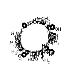 CCC[C@@H]1NC(=O)[C@H](Cc2ccc(O)cc2)NC(=O)[C@H](CCC(=O)O)NC(=O)[C@H](CCCCN)NC(=O)[C@H](Cc2c[nH]c3ncccc23)NC(=O)[C@H]([C@@H](C)O)NC(=O)[C@H](Cc2cnc[nH]2)NC(=O)[C@H](Cc2ccc(O)cc2)NC(=O)[C@H](C(C)(C)C)NC(=O)CCSCc2cccc(c2)CSC[C@@H](C(N)=O)NC(=O)[C@H]([C@@H](C)O)NC1=O